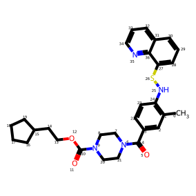 Cc1cc(C(=O)N2CCN(C(=O)OCCC3CCCC3)CC2)ccc1NSc1cccc2cccnc12